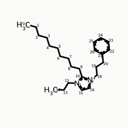 CCCCCCCCCCc1n(CCC)cc[n+]1CCCc1ccccc1